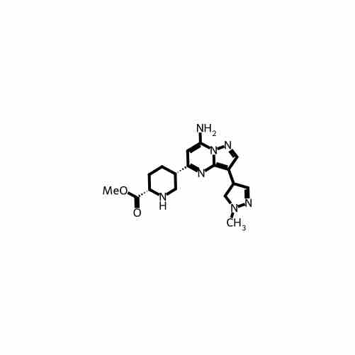 COC(=O)[C@@H]1CC[C@H](c2cc(N)n3ncc(C4C=NN(C)C4)c3n2)CN1